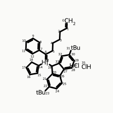 C=CCCCC/[C](c1ccccc1)=[Hf](/[C]1=CC=CC1)[CH]1c2cc(C(C)(C)C)ccc2-c2ccc(C(C)(C)C)cc21.Cl.Cl